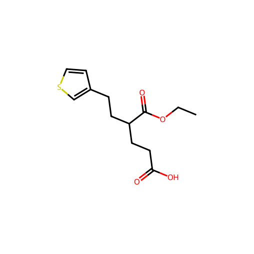 CCOC(=O)C(CCC(=O)O)CCc1ccsc1